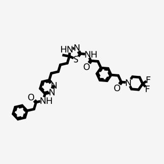 CC1(CCCCc2ccc(NC(=O)Cc3ccccc3)nn2)NN=C(NC(=O)Cc2cccc(CC(=O)N3CCC(F)(F)CC3)c2)S1